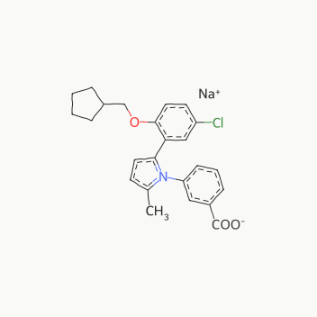 Cc1ccc(-c2cc(Cl)ccc2OCC2CCCC2)n1-c1cccc(C(=O)[O-])c1.[Na+]